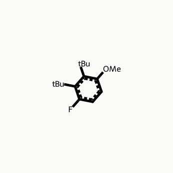 COc1ccc(F)c(C(C)(C)C)c1C(C)(C)C